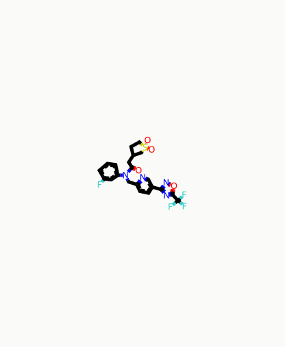 O=C(CC1CCS(=O)(=O)C1)N(Cc1ccc(-c2noc(C(F)(F)F)n2)cn1)c1cccc(F)c1